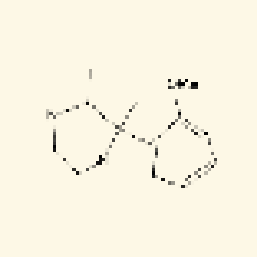 COc1ccccc1C1(C)[N]CCNC1C